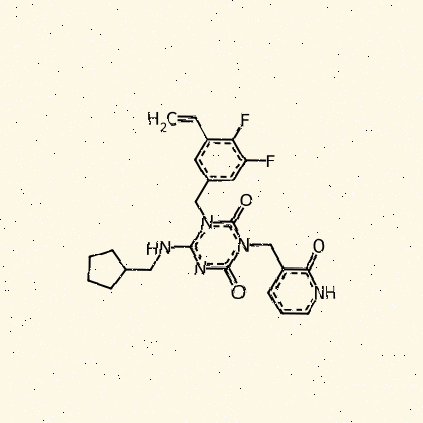 C=Cc1cc(Cn2c(NCC3CCCC3)nc(=O)n(Cc3ccc[nH]c3=O)c2=O)cc(F)c1F